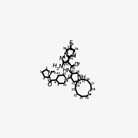 CN1CCC[C@H]1C(=O)C1CCN(C2CC3(CCCCCCCCCC3)NCC2NC(=O)c2c(N)nn3cc(F)cnc23)CC1